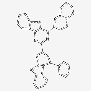 c1ccc(-c2cc(-c3nc(-c4ccc5ccccc5c4)c4sc5ccccc5c4n3)cc3sc4ccccc4c23)cc1